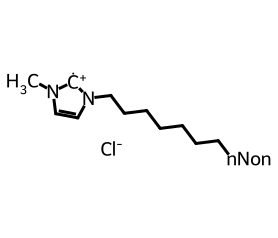 CCCCCCCCCCCCCCCCN1[C+]N(C)C=C1.[Cl-]